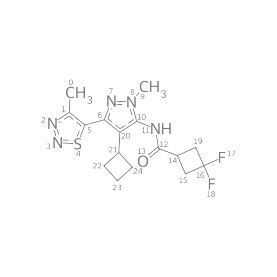 Cc1nnsc1-c1nn(C)c(NC(=O)C2CC(F)(F)C2)c1C1CCC1